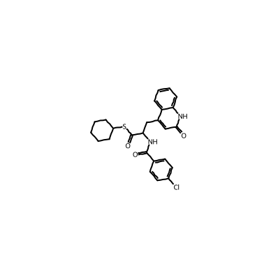 O=C(NC(Cc1cc(=O)[nH]c2ccccc12)C(=O)SC1CCCCC1)c1ccc(Cl)cc1